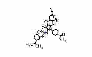 C=N/C(=N\c1c(C)nc(Nc2c(Cl)cc(C#N)cc2Cl)n1[C@H]1CC[C@@H](C(N)=O)CC1)N[C@@H]1CCCN(C(C)C)C1